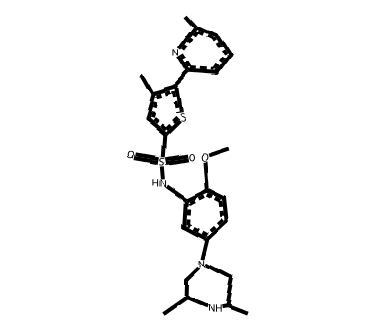 COc1ccc(N2CC(C)NC(C)C2)cc1NS(=O)(=O)c1cc(C)c(-c2cccc(C)n2)s1